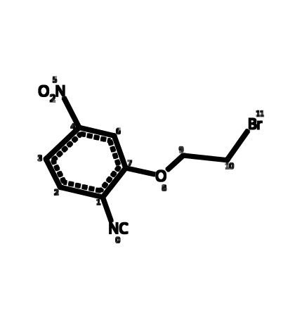 [C-]#[N+]c1ccc([N+](=O)[O-])cc1OCCBr